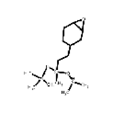 C[SiH](C)O[Si](C)(CCC1CCC2OC2C1)O[Si](C)(C)C